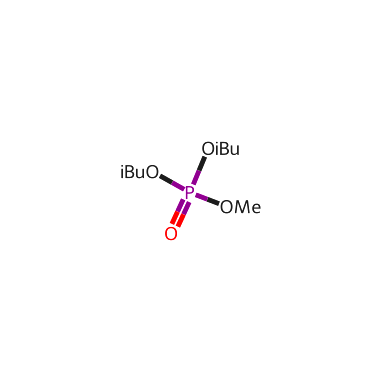 COP(=O)(OCC(C)C)OCC(C)C